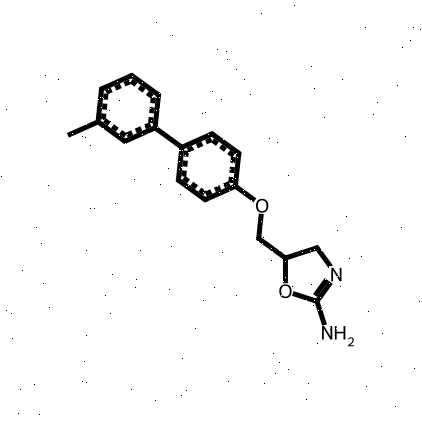 Cc1cccc(-c2ccc(OCC3CN=C(N)O3)cc2)c1